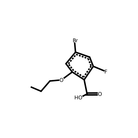 CCCOc1cc(Br)cc(F)c1C(=O)O